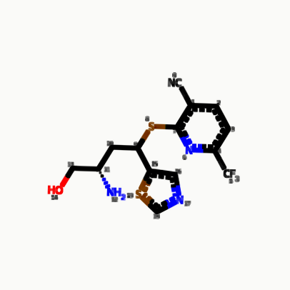 N#Cc1ccc(C(F)(F)F)nc1SC(C[C@H](N)CO)c1cncs1